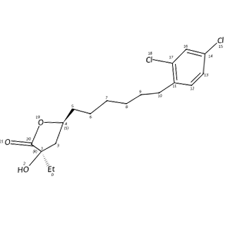 CC[C@@]1(O)C[C@H](CCCCCCc2ccc(Cl)cc2Cl)OC1=O